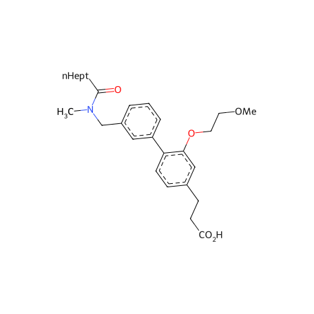 CCCCCCCC(=O)N(C)Cc1cccc(-c2ccc(CCC(=O)O)cc2OCCOC)c1